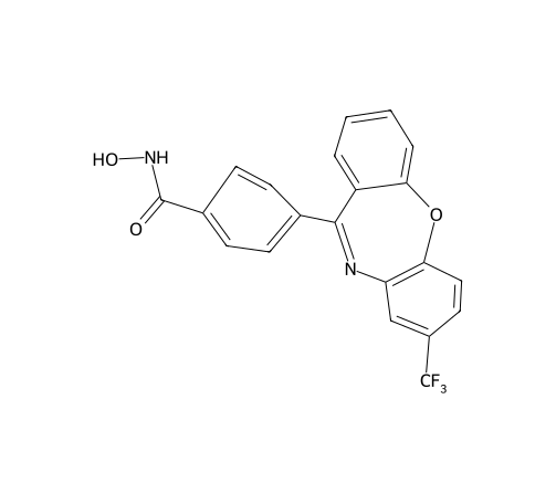 O=C(NO)c1ccc(C2=Nc3cc(C(F)(F)F)ccc3Oc3ccccc32)cc1